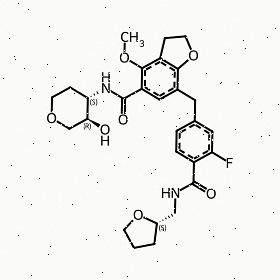 COc1c(C(=O)N[C@H]2CCOC[C@@H]2O)cc(Cc2ccc(C(=O)NC[C@@H]3CCCO3)c(F)c2)c2c1CCO2